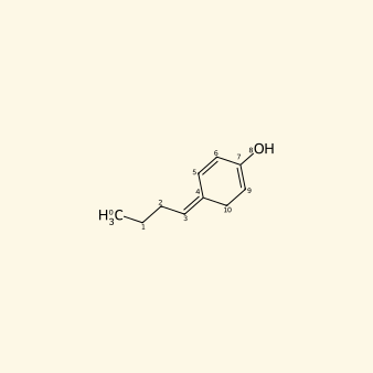 CCCC=C1C=CC(O)=CC1